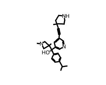 CC(C)c1ccc([C@](O)(c2cncc(C#CC3(C)CCNCC3)c2)C2(C)CN(C)C2)cc1